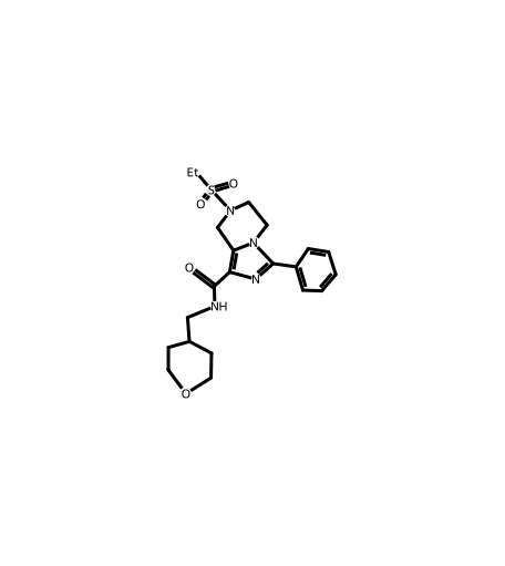 CCS(=O)(=O)N1CCn2c(-c3ccccc3)nc(C(=O)NCC3CCOCC3)c2C1